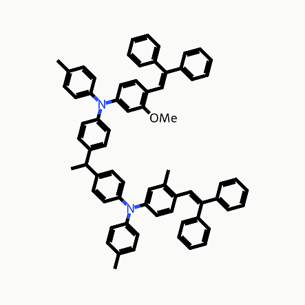 COc1cc(N(c2ccc(C)cc2)c2ccc(C(C)c3ccc(N(c4ccc(C)cc4)c4ccc(C=C(c5ccccc5)c5ccccc5)c(C)c4)cc3)cc2)ccc1C=C(c1ccccc1)c1ccccc1